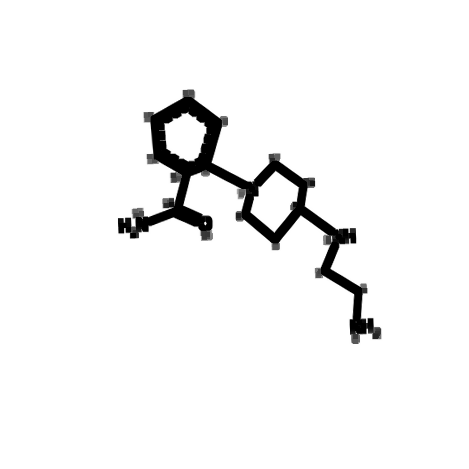 NCCNC1CCN(c2ccccc2C(N)=O)CC1